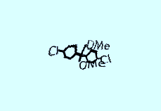 COCC(COC)(C1CCC(Cl)CC1)C1CCC(Cl)CC1